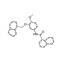 COc1ccc(NC(=O)c2cccc3ccccc23)cc1OCc1cccc2ccccc12